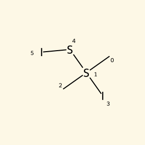 CS(C)(I)SI